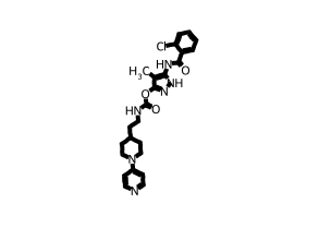 Cc1c(OC(=O)NCCC2CCN(c3ccncc3)CC2)n[nH]c1NC(=O)c1ccccc1Cl